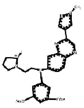 COc1cc(OC)cc(N(CCN2CCC[C@H]2I)c2ccc3ncc(-c4cnn(C)c4)nc3c2)c1